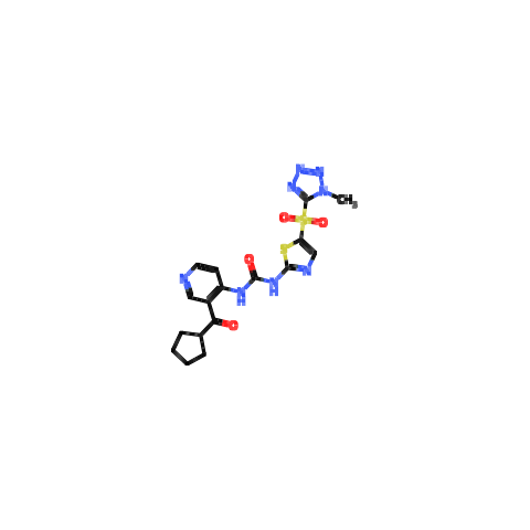 Cn1nnnc1S(=O)(=O)c1cnc(NC(=O)Nc2ccncc2C(=O)C2CCCC2)s1